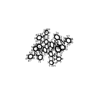 c1ccc(B2c3ccccc3N(c3ccccc3)c3c2ccc2c3-c3cc(N4c5ccccc5N(c5ccccc5)c5ccccc54)ccc3C23c2ccc(N4c5ccccc5N(c5ccccc5)c5ccccc54)cc2-c2c3ccc3c2N(c2ccccc2)c2ccccc2B3c2ccccc2)cc1